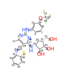 Cc1nc(Nc2cccc(OC(F)(F)F)c2)nc(N[C@@H]2C[C@H](CO)[C@@H](O)[C@H]2O)c1-c1nc2ccccc2s1